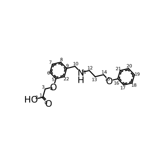 O=C(O)COc1cccc(CNCCCOc2ccccc2)c1